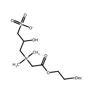 CCCCCCCCCCCCOC(=O)C[N+](C)(C)CC(O)CS(=O)(=O)[O-]